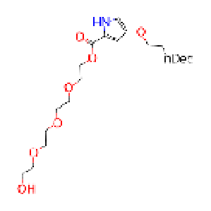 CCCCCCCCCCCCOc1c[nH]c(C(=O)OCCOCCOCCOCCO)c1